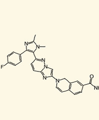 Cc1nc(-c2ccc(F)cc2)c(-c2ccc3nc(N4C=Cc5ccc(C(N)=O)cc5C4)cn3n2)n1C